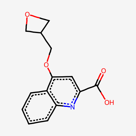 O=C(O)c1cc(OCC2COC2)c2ccccc2n1